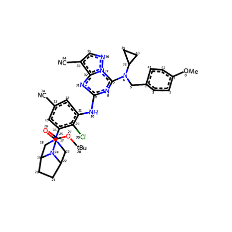 COc1ccc(CN(c2nc(Nc3cc(C#N)cc(N4CC5CCC(C4)N5C(=O)OC(C)(C)C)c3Cl)nc3c(C#N)cnn23)C2CC2)cc1